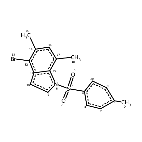 Cc1ccc(S(=O)(=O)n2ccc3c(Br)c(C)cc(C)c32)cc1